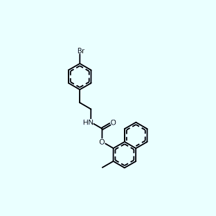 Cc1ccc2ccccc2c1OC(=O)NCCc1ccc(Br)cc1